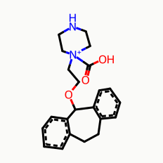 O=C(O)[N+]1(CCOC2c3ccccc3CCc3ccccc32)CCNCC1